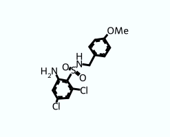 COc1ccc(CNS(=O)(=O)c2c(N)cc(Cl)cc2Cl)cc1